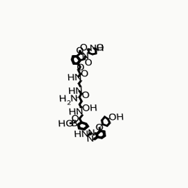 N[C@@H](CCC(O)NCC1OB(O)c2cc(Nc3ncc4cccc(O[C@H]5CC[C@@H](O)CC5)c4n3)ccc21)C(=O)NCCCNC(=O)COc1cccc2c1C(=O)N(C1CCC(=O)NC1=O)C2=O